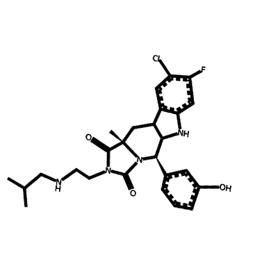 CC(C)CNCCN1C(=O)N2[C@H](c3cccc(O)c3)C3Nc4cc(F)c(Cl)cc4C3C[C@@]2(C)C1=O